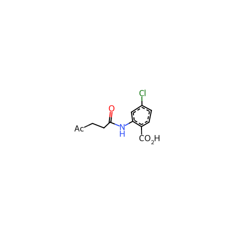 CC(=O)CCC(=O)Nc1cc(Cl)ccc1C(=O)O